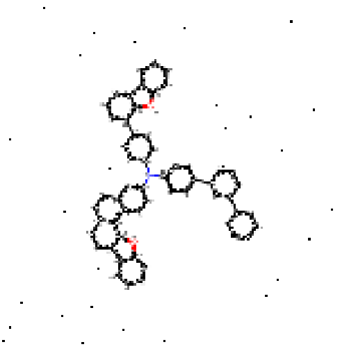 c1ccc(-c2cccc(-c3ccc(N(c4ccc(-c5cccc6c5oc5ccccc56)cc4)c4ccc5c(ccc6ccc7c8ccccc8oc7c65)c4)cc3)c2)cc1